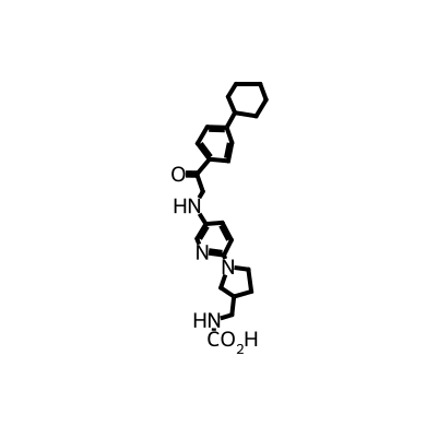 O=C(O)NCC1CCN(c2ccc(NCC(=O)c3ccc(C4CCCCC4)cc3)cn2)C1